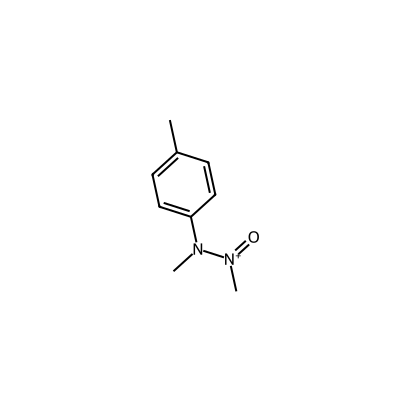 Cc1ccc(N(C)[N+](C)=O)cc1